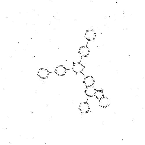 c1ccc(-c2ccc(-c3nc(-c4ccc(-c5ccccc5)cc4)nc(-c4ccc5c(c4)nc(-c4ccccc4)c4c6ccccc6sc54)n3)cc2)cc1